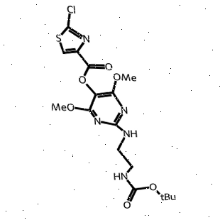 COc1nc(NCCNC(=O)OC(C)(C)C)nc(OC)c1OC(=O)c1csc(Cl)n1